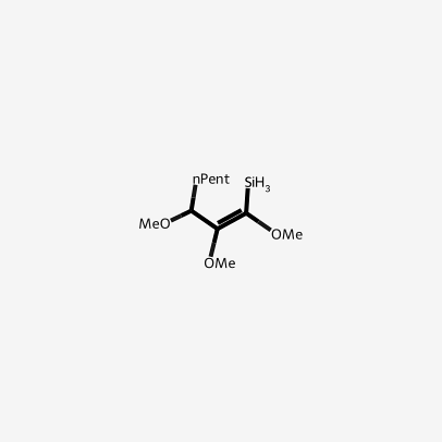 CCCCCC(OC)C(OC)=C([SiH3])OC